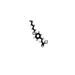 CCCCCCOc1ccc(CCC(=O)Cl)cc1